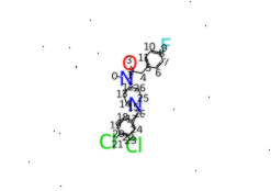 CN(C(=O)Cc1ccc(F)cc1)C1CCN(Cc2ccc(Cl)c(Cl)c2)CC1